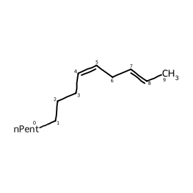 [CH2]CCCCCCC/C=C\C/C=C/C